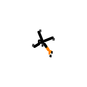 [CH3][Ge]([CH3])([CH3])[P]